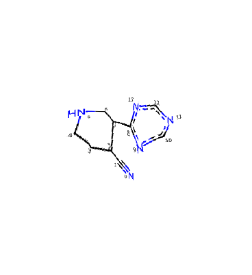 N#CC1CCNCC1c1ncncn1